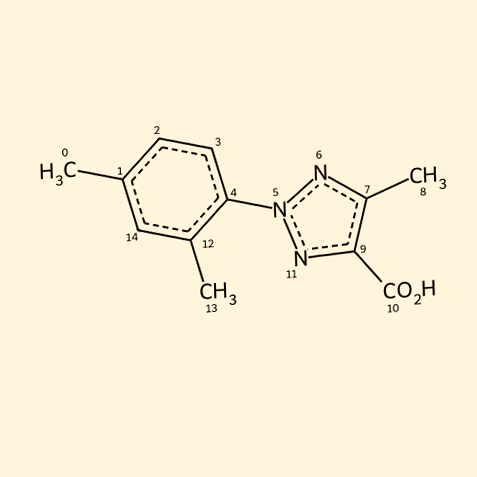 Cc1ccc(-n2nc(C)c(C(=O)O)n2)c(C)c1